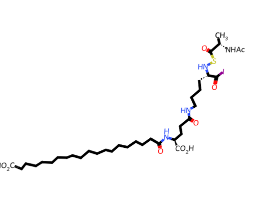 CC(=O)N[C@@H](C)C(=O)SN[C@@H](CCCCNC(=O)CC[C@H](NC(=O)CCCCCCCCCCCCCCCCCCC(=O)O)C(=O)O)C(=O)I